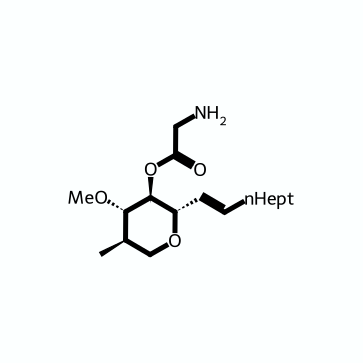 CCCCCCCC=C[C@@H]1OC[C@@H](C)[C@H](OC)[C@H]1OC(=O)CN